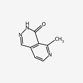 Cc1nccc2cn[nH]c(=O)c12